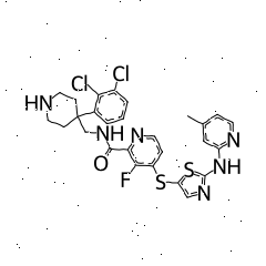 Cc1ccnc(Nc2ncc(Sc3ccnc(C(=O)NCC4(c5cccc(Cl)c5Cl)CCNCC4)c3F)s2)c1